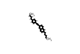 CCCCCc1ccc2cc(C#Cc3ccc(CCCC)cc3)ccc2c1